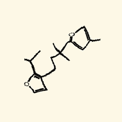 Cc1coc(C(C)(C)CCc2ccoc2C(C)C)c1